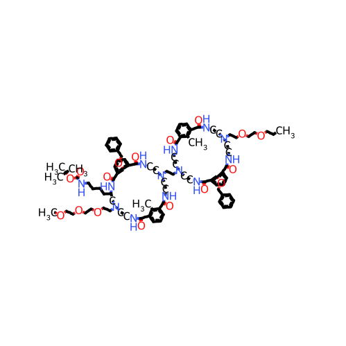 CCCOCCOCCN1CCNC(=O)c2cccc(c2C)C(=O)NCCN(CCN2CCNC(=O)c3cccc(c3C)C(=O)NCCN(CCOCCOCCOC)CC(CCCCNC(=O)OC(C)(C)C)NC(=O)c3cccc(c3OCc3ccccc3)C(=O)NCC2)CCNC(=O)c2cccc(c2OCc2ccccc2)C(=O)NCC1